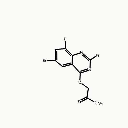 CCc1nc(OCC(=O)OC)c2cc(Br)cc(F)c2n1